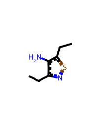 CCc1nsc(CC)c1N